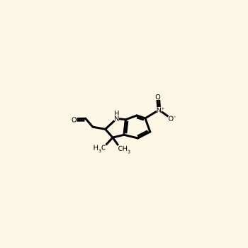 CC1(C)c2ccc([N+](=O)[O-])cc2NC1CC=O